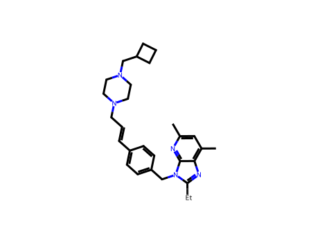 CCc1nc2c(C)cc(C)nc2n1Cc1ccc(C=CCN2CCN(CC3CCC3)CC2)cc1